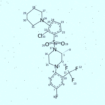 C[C@@H]1CN(c2ccc(F)cc2C(F)(F)F)CCN1S(=O)(=O)c1cccc(N2CCCCC2)c1Cl